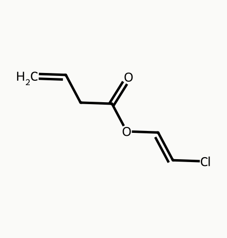 C=CCC(=O)OC=CCl